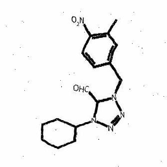 Cc1cc(CN2N=NN(C3CCCCC3)C2C=O)ccc1[N+](=O)[O-]